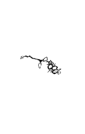 CN1C(=O)CC[C@@]2(C)C1CC[C@@H]1[C@H]2CC[C@]2(C)C(COC(=O)CCCCCBr)CC[C@@H]12